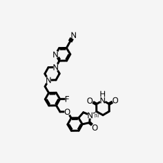 N#Cc1ccc(N2CCN(Cc3ccc(COc4cccc5c4CN([C@H]4CCC(=O)NC4=O)C5=O)c(F)c3)CC2)nc1